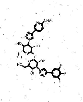 CC(=O)Nc1ccc(-c2cn(C3C(O)[C@@H](CO)OC(S[C@@H]4OC(CO)[C@H](O)C(n5cc(-c6cc(F)c(F)c(F)c6)nn5)[C@@H]4O)[C@@H]3O)nn2)cn1